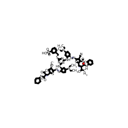 [C-]#[N+]c1cc(/C=C(\C(C)=O)C(=O)Nc2ccccc2)sc1/N=N/c1ccc(N(CC)CC)cc1Nc1nc(Nc2cc(N(CC)CC)ccc2/N=N/c2sc(/C=C(/C(C)=O)C(=O)Nc3ccccc3)c(S(=O)(=O)O)c2C#N)nc(SCc2cccc(S(=O)(=O)O)c2)n1